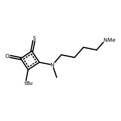 CNCCCCN(C)c1c(C(C)(C)C)c(=O)c1=S